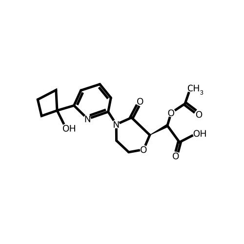 CC(=O)OC(C(=O)O)[C@H]1OCCN(c2cccc(C3(O)CCC3)n2)C1=O